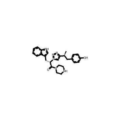 C[C@@H](Cc1ccc(O)cc1)c1cn([C@@H](Cc2c[nH]c3ccccc23)C(=O)N2CCNCC2)nn1